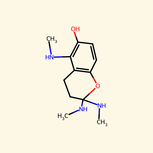 CNc1c(O)ccc2c1CCC(NC)(NC)O2